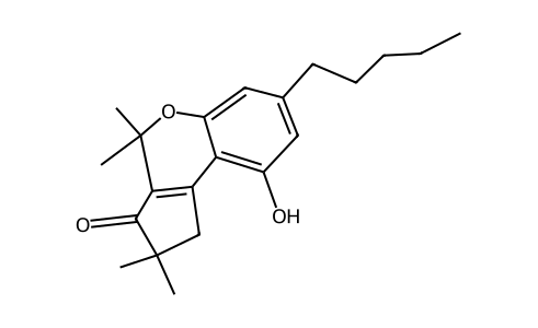 CCCCCc1cc(O)c2c(c1)OC(C)(C)C1=C2CC(C)(C)C1=O